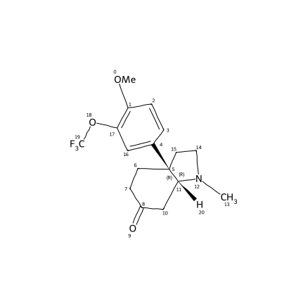 COc1ccc([C@]23CCC(=O)C[C@H]2N(C)CC3)cc1OC(F)(F)F